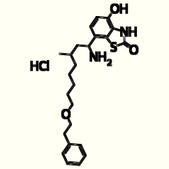 CC(CCCCCOCCc1ccccc1)CC(N)c1ccc(O)c2[nH]c(=O)sc12.Cl